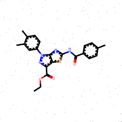 CCOC(=O)c1nn(-c2ccc(C)c(C)c2)c2nc(NC(=O)c3ccc(C)cc3)sc12